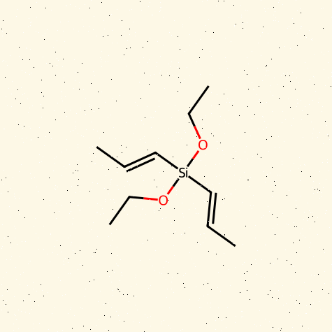 CC=C[Si](C=CC)(OCC)OCC